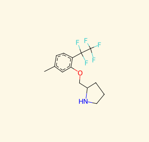 Cc1ccc(C(F)(F)C(F)(F)F)c(OCC2CCCN2)c1